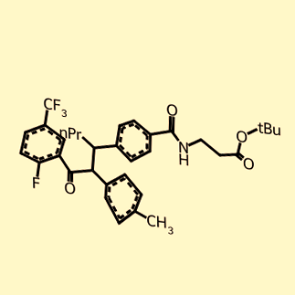 CCCC(c1ccc(C(=O)NCCC(=O)OC(C)(C)C)cc1)C(C(=O)c1cc(C(F)(F)F)ccc1F)c1ccc(C)cc1